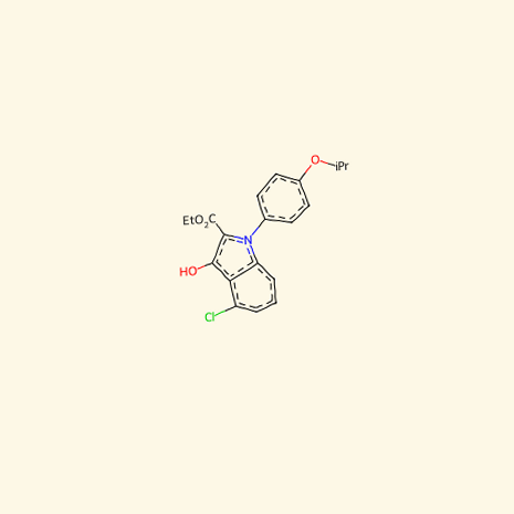 CCOC(=O)c1c(O)c2c(Cl)cccc2n1-c1ccc(OC(C)C)cc1